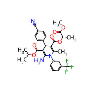 COC(=O)[C@H](C)OC(=O)C1=C(C)N(c2cccc(C(F)(F)F)c2)C(N)=C(C(=O)OC(C)C)C1c1ccc(C#N)cc1